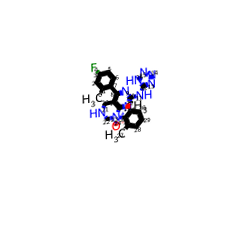 Cc1cc(F)ccc1-c1nc(Nc2nnn[nH]2)nc2c1CNC[N+]2([O-])c1c(C)cccc1C